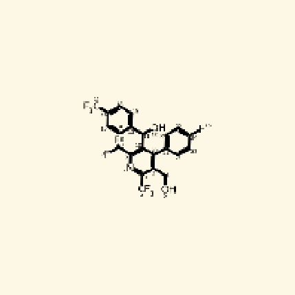 OCc1c(C(F)(F)F)nc(C(F)F)c(C(O)c2ccc(C(F)(F)F)cc2)c1-c1ccc(F)cc1